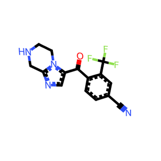 N#Cc1ccc(C(=O)c2cnc3n2CCNC3)c(C(F)(F)F)c1